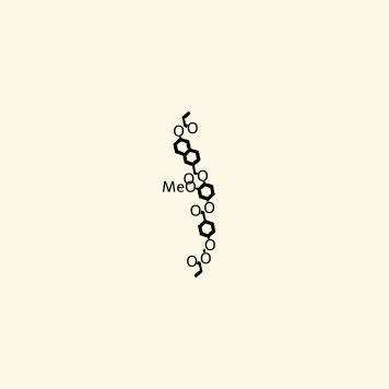 C=CC(=O)OCOc1ccc(C(=O)Oc2ccc(OC(=O)c3ccc4cc(OC(=O)C=C)ccc4c3)c(OC)c2)cc1